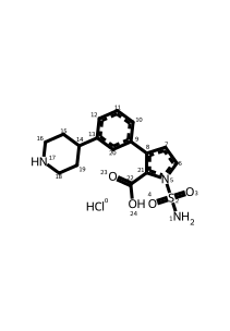 Cl.NS(=O)(=O)n1ccc(-c2cccc(C3CCNCC3)c2)c1C(=O)O